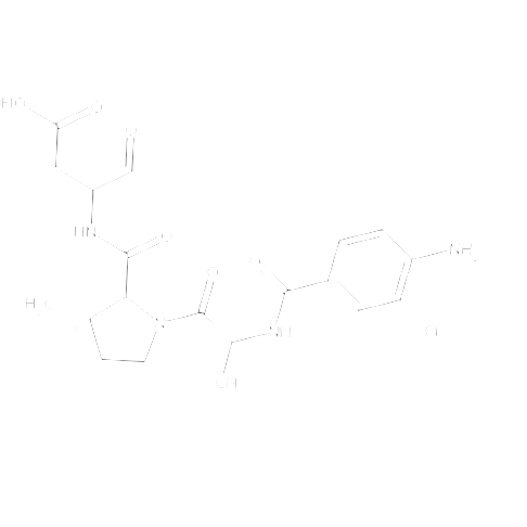 CC(NC(=O)c1ccc(N)c(Cl)c1)C(=O)N1CC[C@H](C)C1C(=O)NC(C=O)CC(=O)O